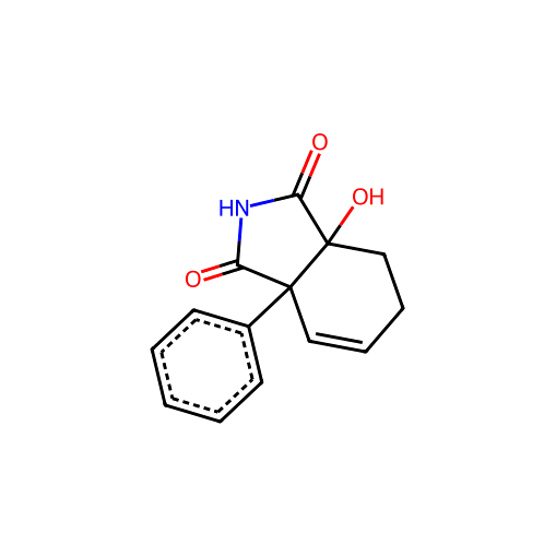 O=C1NC(=O)C2(c3ccccc3)C=CCCC12O